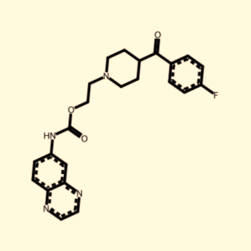 O=C(Nc1ccc2nccnc2c1)OCCN1CCC(C(=O)c2ccc(F)cc2)CC1